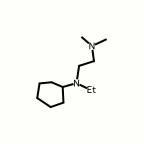 [CH2]CN(CCN(C)C)C1CCCCC1